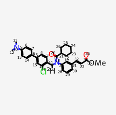 [2H]C(c1ccc(-c2ccc(N(C)C)cc2)cc1Cl)N(C(=O)C1CCCCC1)c1cccc(/C=C/C(=O)OC)c1